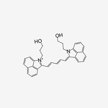 OCCCn1\c(=C/C=C/C=C/C2=[N+](CCCO)c3cccc4cccc2c34)c2cccc3cccc1c32